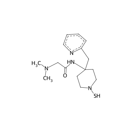 CN(C)CC(=O)NC1(Cc2ccccn2)CCN(S)CC1